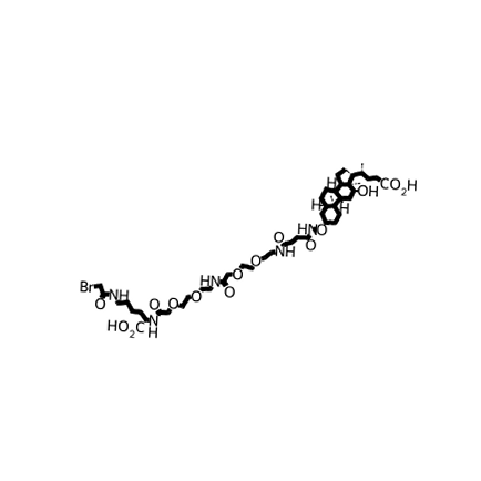 C[C@H](CCC(=O)O)[C@H]1CCC2[C@@H]3CC[C@@H]4C[C@@H](ONC(=O)CCC(=O)NCCOCCOCC(=O)NCCOCCOCC(=O)N[C@@H](CCCCNC(=O)CBr)C(=O)O)CC[C@]4(C)[C@H]3C[C@H](O)[C@@]21C